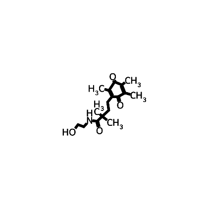 CC1=C(C)C(=O)C(CCC(C)(C)C(=O)NCCO)=C(C)C1=O